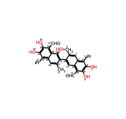 Cc1cc2c(C(C)C)c(O)c(O)c(C=O)c2cc1-c1c(C)cc2c(C(C)C)c(O)c(O)c(C=O)c2c1O